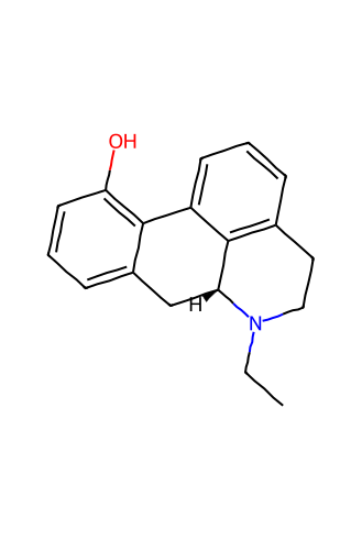 CCN1CCc2cccc3c2[C@H]1Cc1cccc(O)c1-3